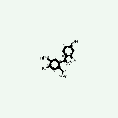 CCCc1cc(-c2noc3cc(O)ccc23)c(CC(C)C)cc1O